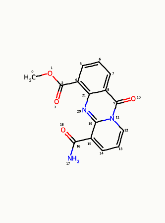 COC(=O)c1cccc2c(=O)n3cccc(C(N)=O)c3nc12